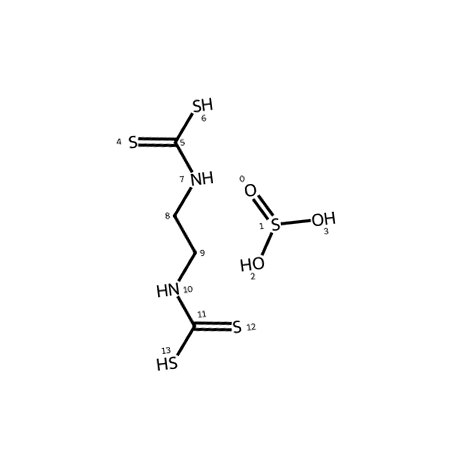 O=S(O)O.S=C(S)NCCNC(=S)S